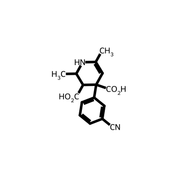 CC1=CC(C(=O)O)(c2cccc(C#N)c2)C(C(=O)O)C(C)N1